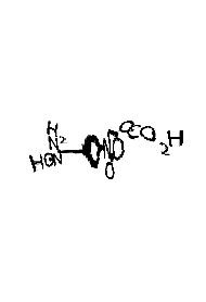 NC(=NO)c1ccc(N2CC(OC(=O)O)OC2=O)cc1